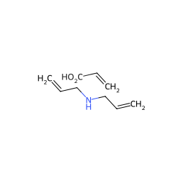 C=CC(=O)O.C=CCNCC=C